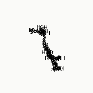 Cc1ncsc1-c1ccc(CNC(=O)[C@@H]2C[C@@H](O)CN2C(=O)[C@@H](NC(=O)CCCCCCCCN2CCC(N3CCC(CNc4ccc(S(=O)(=O)NC(=O)c5ccc(N6CCN(CC7=C(c8ccc(Cl)cc8)CC(C)(C)CC7)CC6)cc5Oc5cnc6[nH]ccc6c5)cc4[N+](=O)[O-])CC3)CC2)C(C)(C)C)cc1